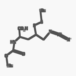 CC(C)(C)OC(=O)NC(CC(CN=[N+]=[N-])SSC(C)(C)C)C(=O)O